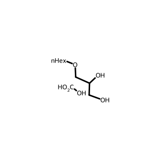 CCCCCCOCC(O)CO.O=C(O)O